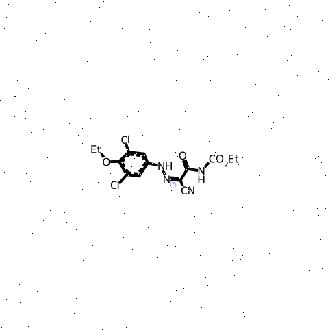 CCOC(=O)NC(=O)/C(C#N)=N\Nc1cc(Cl)c(OCC)c(Cl)c1